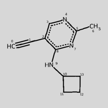 C#Cc1cnc(C)nc1NC1CCC1